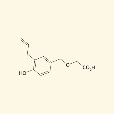 C=CCc1cc(COCC(=O)O)ccc1O